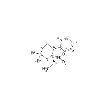 COC1([N+](=O)[O-])CC(Br)(Br)C=CC1c1ccccc1